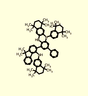 CC1(C)CCC(C)(C)c2cc(Nc3c(-c4cc(-c5ccccc5)cc5c4Bc4cc6c(cc4N5c4ccc5c(c4)C(C)(C)CCC5(C)C)C(C)(C)CCC6(C)C)ccc4c3-c3ccccc3C4(C)C)ccc21